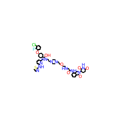 O=C1CCC(N2Cc3c(NC(=O)CNCCOCCN4CCN(CCNC(O)[C@]5(Cc6cccc(Nc7nccs7)n6)CC[C@@H](Oc6cccc(Cl)c6F)CC5)CC4)cccc3C2=O)C(=O)N1